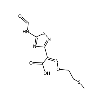 CSCCON=C(C(=O)O)c1nsc(NC=O)n1